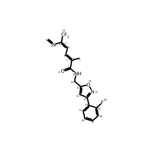 C=N/C(=C\C=C(/C)C(=O)NCc1cc(-c2ccccc2F)no1)C(F)(F)F